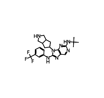 CC(C)(C)Nc1ncc2nc(Nc3cccc(C(F)(F)F)c3)n(C3CC4CNCC4C3)c2n1